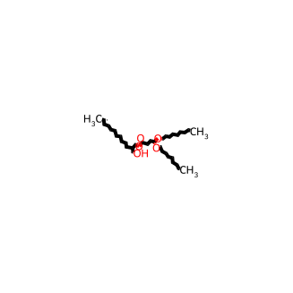 C[CH]CCCCCCCCCC(CO)COC(=O)CCC(OCCCCCCCCC)OCCCCCCCCC